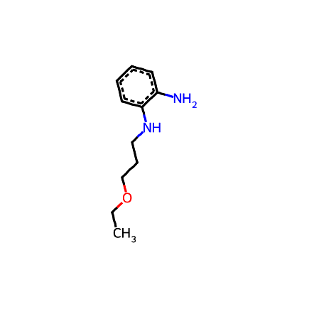 CCOCCCNc1ccccc1N